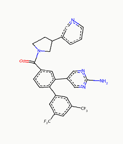 Nc1ncc(-c2cc(C(=O)N3CCC(c4cccnc4)C3)ccc2-c2cc(C(F)(F)F)cc(C(F)(F)F)c2)cn1